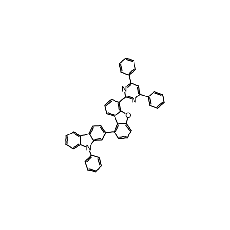 c1ccc(-c2cc(-c3ccccc3)nc(-c3cccc4c3oc3cccc(-c5ccc6c7ccccc7n(-c7ccccc7)c6c5)c34)n2)cc1